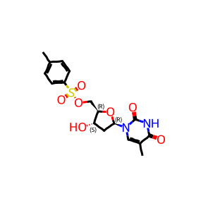 Cc1ccc(S(=O)(=O)OC[C@H]2O[C@@H](n3cc(C)c(=O)[nH]c3=O)C[C@@H]2O)cc1